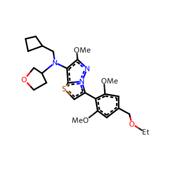 CCOCc1cc(OC)c(-c2csc3c(N(CC4CCC4)C4CCOC4)c(OC)nn23)c(OC)c1